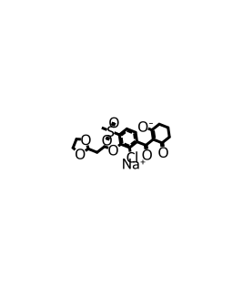 CS(=O)(=O)c1ccc(C(=O)C2=C([O-])CCCC2=O)c(Cl)c1OCCC1OCCO1.[Na+]